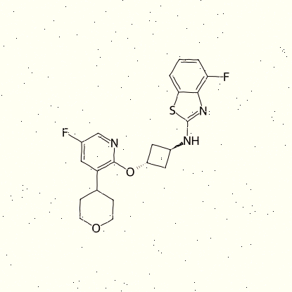 Fc1cnc(O[C@H]2C[C@H](Nc3nc4c(F)cccc4s3)C2)c(C2CCOCC2)c1